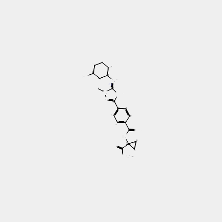 COC(=O)C1(NC(=O)c2ccc(-c3nn(C)/c(=N\C4CCCC(O)C4)s3)cc2)CC1